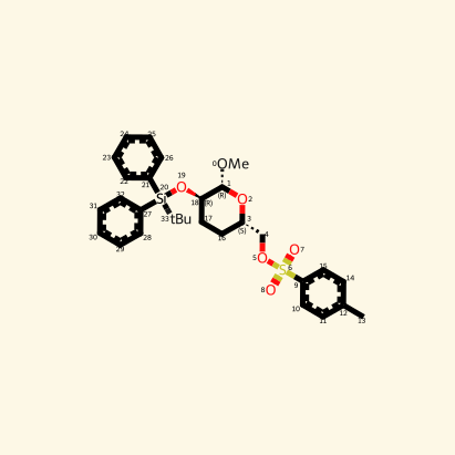 CO[C@@H]1O[C@H](COS(=O)(=O)c2ccc(C)cc2)CC[C@H]1O[Si](c1ccccc1)(c1ccccc1)C(C)(C)C